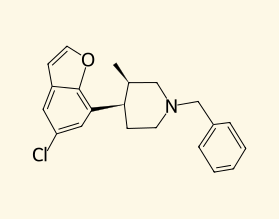 C[C@H]1CN(Cc2ccccc2)CC[C@H]1c1cc(Cl)cc2ccoc12